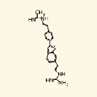 CC(=N)N/C=C/c1ccc(-c2cc3ccc(/C=C/NC(=N)N)cc3s2)cc1